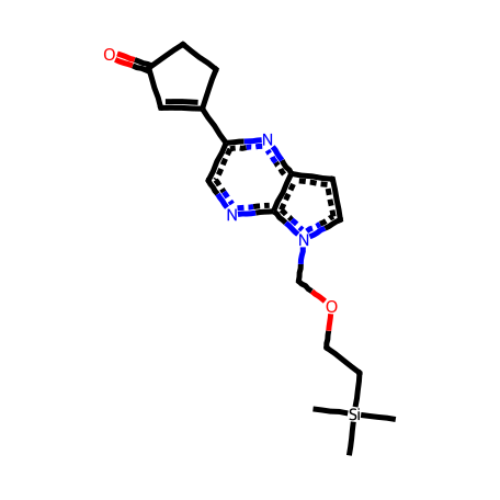 C[Si](C)(C)CCOCn1ccc2nc(C3=CC(=O)CC3)cnc21